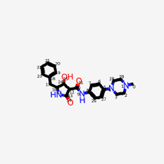 CN1CCN(c2ccc(NC(=O)C3C(=O)NC(Cc4ccccc4)C3O)cc2)CC1